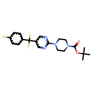 CC(C)(C)OC(=O)N1CCN(c2ncc(C(F)(F)c3ccc(F)cc3)cn2)CC1